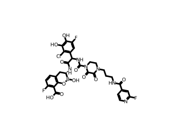 O=C(NCCCN1CCN(C(=O)NC(C(=O)N[C@H]2Cc3ccc(F)c(C(=O)O)c3OB2O)c2cc(F)c(O)c(O)c2Cl)C(=O)C1=O)c1ccnc(F)c1